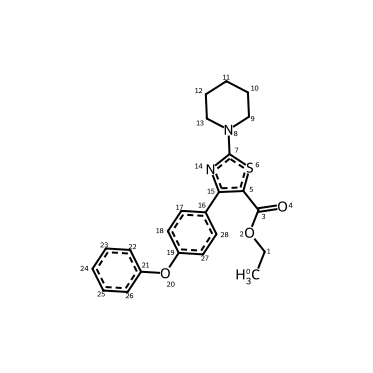 CCOC(=O)c1sc(N2CCCCC2)nc1-c1ccc(Oc2ccccc2)cc1